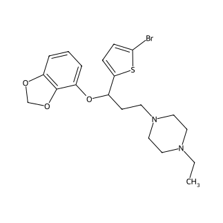 CCN1CCN(CCC(Oc2cccc3c2OCO3)c2ccc(Br)s2)CC1